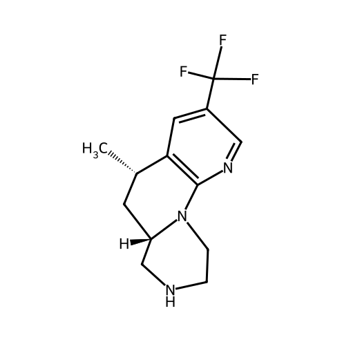 C[C@H]1C[C@H]2CNCCN2c2ncc(C(F)(F)F)cc21